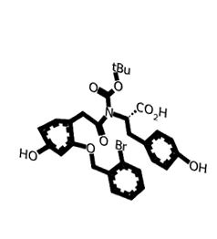 CC(C)(C)OC(=O)N(C(=O)Cc1ccc(O)cc1OCc1ccccc1Br)[C@@H](Cc1ccc(O)cc1)C(=O)O